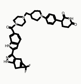 CC12Cc3[nH]nc(-c4cc5ccc(C(=O)N6CCN(CC7CCN(c8ccc(C9CCC(=O)NC9=O)cc8)CC7)CC6)cc5[nH]4)c3CC1C2(F)F